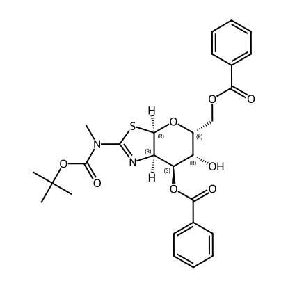 CN(C(=O)OC(C)(C)C)C1=N[C@@H]2[C@H](OC(=O)c3ccccc3)[C@@H](O)[C@@H](COC(=O)c3ccccc3)O[C@@H]2S1